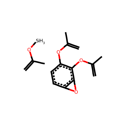 C=C(C)O[SiH3].C=C(C)Oc1ccc2c(c1OC(=C)C)O2